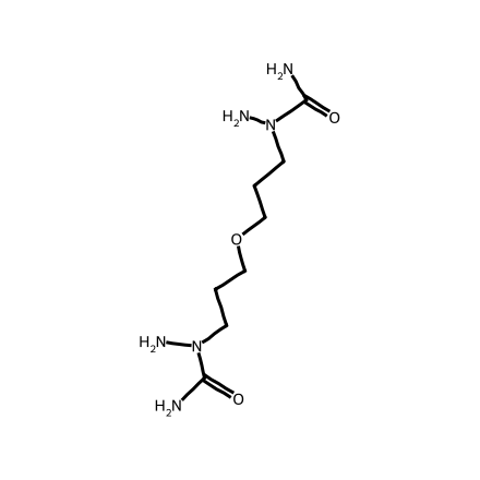 NC(=O)N(N)CCCOCCCN(N)C(N)=O